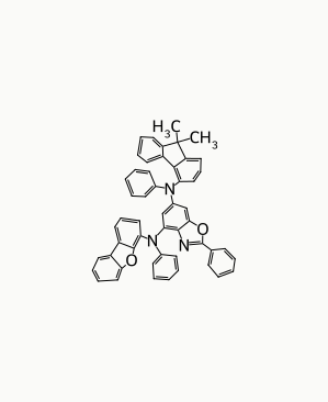 CC1(C)c2ccccc2-c2c(N(c3ccccc3)c3cc(N(c4ccccc4)c4cccc5c4oc4ccccc45)c4nc(-c5ccccc5)oc4c3)cccc21